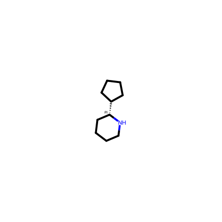 C1CC[C@H](C2CCCC2)NC1